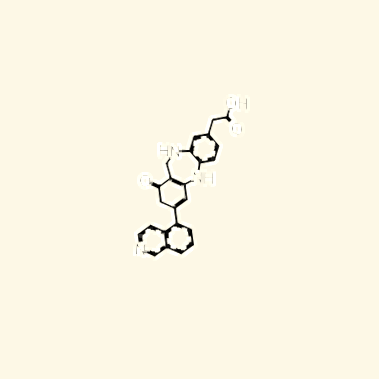 O=C(O)Cc1ccc2c(c1)NCC1=C(C=C(c3cccc4cnccc34)CC1=O)N2